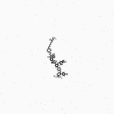 COC(=O)CCCCCCN1CCCN(CCCNc2ccc(S(=O)(=O)NC(=O)c3ccc(N4CCN(CC5=C(c6ccc(Cl)cc6)CC(C)(C)CC5)CC4)cc3Oc3cnc4[nH]ccc4c3)cc2S(=O)(=O)C(F)(F)F)CC1